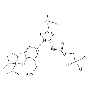 CC(C)[Si](Oc1ccc(-n2nc(C(C)(C)C)cc2NC(=O)OCC(Cl)(Cl)Cl)cc1CO)(C(C)C)C(C)C